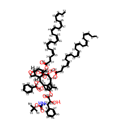 CC/C=C\C/C=C\C/C=C\C/C=C\C/C=C\C/C=C\CCC(=O)O[C@H]1C(=O)[C@]2(C)[C@@H](OC(=O)CC/C=C\C/C=C\C/C=C\C/C=C\C/C=C\C/C=C\CC)C[C@H]3OC[C@@]3(OC(C)=O)[C@H]2[C@H](OC(=O)c2ccccc2)[C@]2(O)CC(OC(=O)C(O)[C@H](NC(=O)OC(C)(C)C)c3ccccc3)C(C)=C1C2(C)C